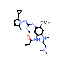 C=CC(=O)Nc1cc(N/C(N=C)=N/n2c(C)ccc2C2CC2)c(OC)cc1N(C)CCN(C)C